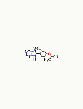 COc1cc(OC(C)C#N)ccc1-c1nc2cncnc2[nH]1